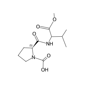 COC(=O)C(NC(=O)[C@@H]1CCCN1C(=O)O)C(C)C